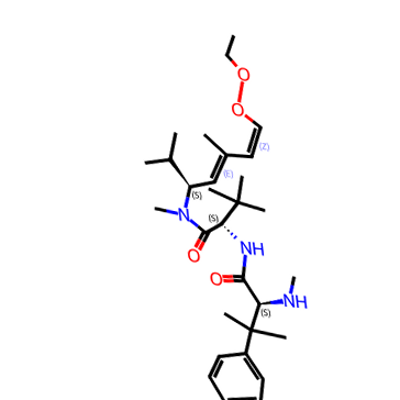 CCOO/C=C\C(C)=C\[C@H](C(C)C)N(C)C(=O)[C@@H](NC(=O)[C@@H](NC)C(C)(C)c1ccccc1)C(C)(C)C